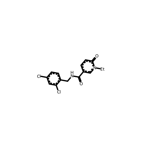 CCn1cc(C(=O)NCc2ccc(Cl)cc2Cl)ccc1=O